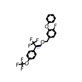 Fc1ccc(CO/C=C(/c2ccc(OC(F)(F)F)cc2)C(F)(F)F)cc1Oc1ccccc1